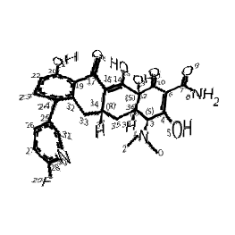 CN(C)[C@@H]1C(O)=C(C(N)=O)C(=O)[C@@]2(O)C(O)=C3C(=O)c4c(O)ccc(-c5ccc(F)nc5)c4C[C@H]3C[C@@H]12